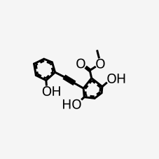 COC(=O)c1c(O)ccc(O)c1C#Cc1ccccc1O